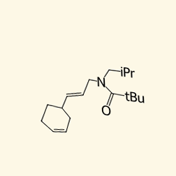 CC(C)CN(C/C=C/C1CC=CCC1)C(=O)C(C)(C)C